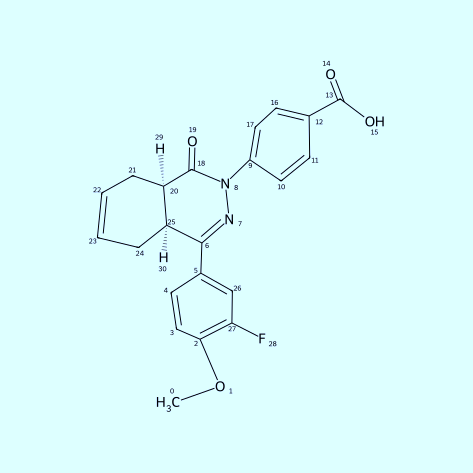 COc1ccc(C2=NN(c3ccc(C(=O)O)cc3)C(=O)[C@@H]3CC=CC[C@H]23)cc1F